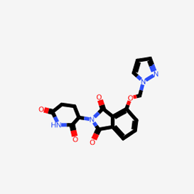 O=C1CCC(N2C(=O)c3cccc(OCn4cccn4)c3C2=O)C(=O)N1